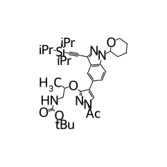 CC(=O)n1cc(-c2ccc3c(c2)c(C#C[Si](C(C)C)(C(C)C)C(C)C)nn3C2CCCCO2)c(OC(C)CNC(=O)OC(C)(C)C)n1